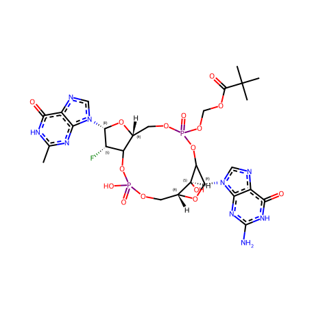 Cc1nc2c(ncn2[C@@H]2O[C@@H]3COP(=O)(OCOC(=O)C(C)(C)C)OC4[C@@H](O)[C@@H](COP(=O)(O)OC3[C@@H]2F)O[C@H]4n2cnc3c(=O)[nH]c(N)nc32)c(=O)[nH]1